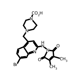 CC1=C(C)C(=O)N(Nc2cc(CN3CCN(C(=O)O)CC3)c3ccc(Br)cc3n2)C1=O